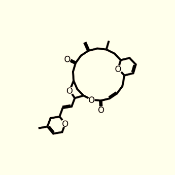 C=C1CC(=O)CC2CC(OC(=O)C=CCC3C=CCC(CC(C)C1)O3)C(C=CC1CC(C)=CCO1)O2